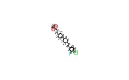 Fc1cc(CCC2CCC([C@H]3CC[C@H](CCC4OCCO4)CC3)CC2)ccc1Cl